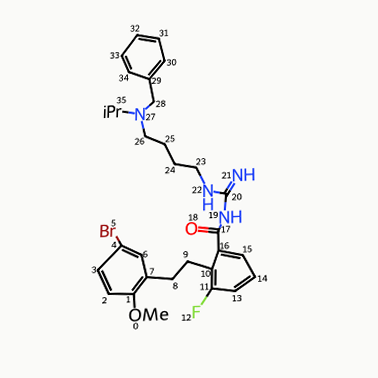 COc1ccc(Br)cc1CCc1c(F)cccc1C(=O)NC(=N)NCCCCN(Cc1ccccc1)C(C)C